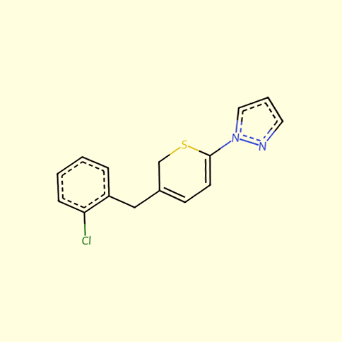 Clc1ccccc1CC1=CC=C(n2cccn2)SC1